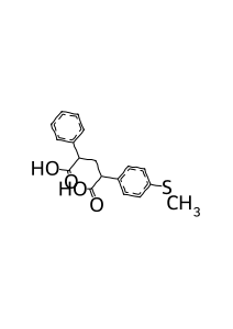 CSc1ccc(C(CC(C(=O)O)c2ccccc2)C(=O)O)cc1